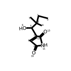 CCC(C)(C)C(O)C1=CC(=O)NC1=O